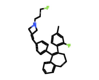 Cc1ccc(C2=C(c3ccc(C=C4CN(CCCF)C4)cc3)c3ccccc3CCC2)c(F)c1